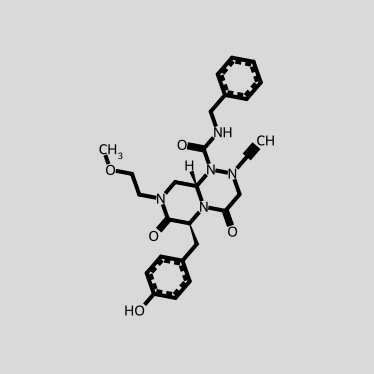 C#CN1CC(=O)N2[C@@H](Cc3ccc(O)cc3)C(=O)N(CCOC)C[C@@H]2N1C(=O)NCc1ccccc1